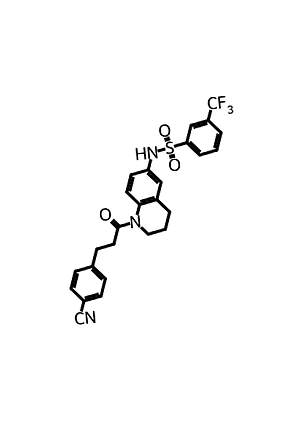 N#Cc1ccc(CCC(=O)N2CCCc3cc(NS(=O)(=O)c4cccc(C(F)(F)F)c4)ccc32)cc1